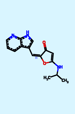 CC(C)NC1=CC(=O)/C(=C\c2c[nH]c3ncccc23)O1